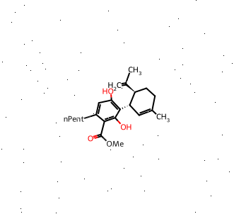 C=C(C)[C@H]1CCC(C)=C[C@@H]1c1c(O)cc(CCCCC)c(C(=O)OC)c1O